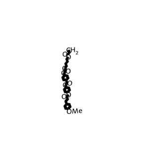 C=CC(=O)OCCCCOC(=O)Oc1ccc(C(=O)Oc2ccc(OC(=O)/C=C/c3ccc(OC)cc3)cc2)cc1